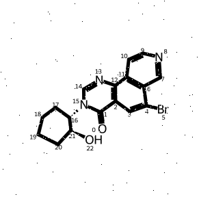 O=c1c2cc(Br)c3cnccc3c2ncn1[C@H]1CCCC[C@@H]1O